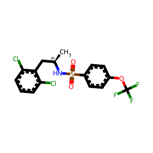 C[C@H](Cc1c(Cl)cccc1Cl)NS(=O)(=O)c1ccc(OC(F)(F)F)cc1